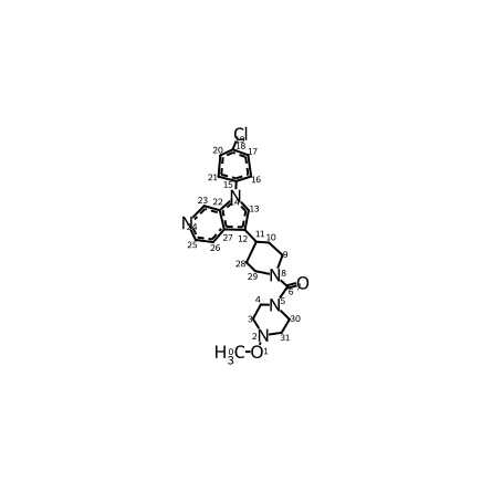 CON1CCN(C(=O)N2CCC(c3cn(-c4ccc(Cl)cc4)c4cnccc34)CC2)CC1